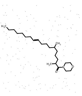 CCCCCCCC=CCCCC(C)CCCC(C)C(=O)N1CCOCC1